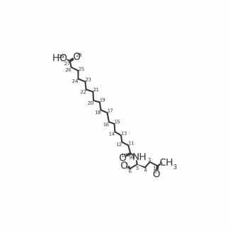 CC(=O)CC[C@@H](C=O)NC(=O)CCCCCCCCCCCCCCCCC(=O)O